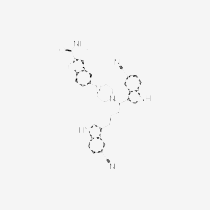 N#Cc1ccc2[nH]cc(CCCC(c3c[nH]c4ccc(C#N)cc34)N3CCN(c4ccc5oc(C(N)=O)cc5c4)CC3)c2c1